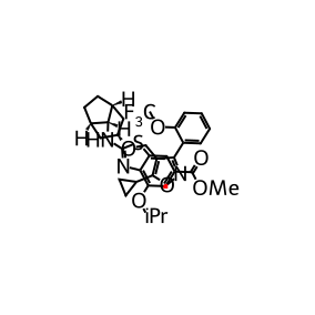 COC(=O)c1cc(OC(C)C)c2nc(N[C@H]3[C@@H]4CC[C@H]3C[C@H](OCc3c(-c5ccccc5OC(F)(F)F)noc3C3CC3)C4)sc2c1